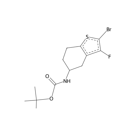 CC(C)(C)OC(=O)NC1CCc2sc(Br)c(F)c2C1